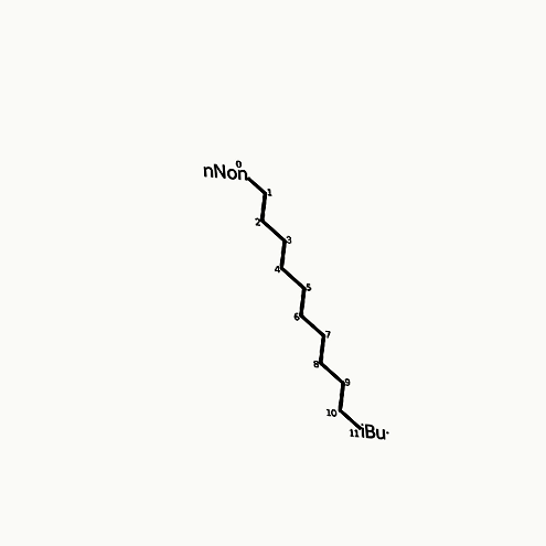 CCCCCCCCCCCCCCCCCCC[C](C)CC